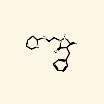 O=C1NN(CCOC2CCCCO2)C(=O)C1Cc1ccccc1